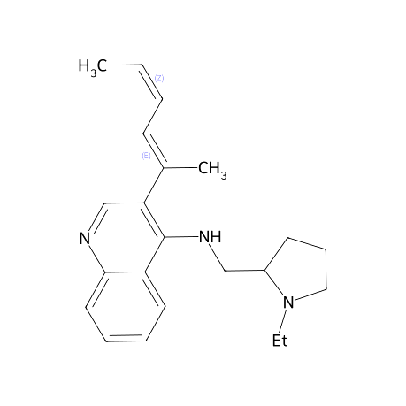 C/C=C\C=C(/C)c1cnc2ccccc2c1NCC1CCCN1CC